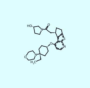 CC[C@]1(N2CCOCC2)CC[C@H](Oc2ccnc3sc4c(c23)[C@@H](CC(=O)N2CC[C@H](O)C2)CC4)CC1